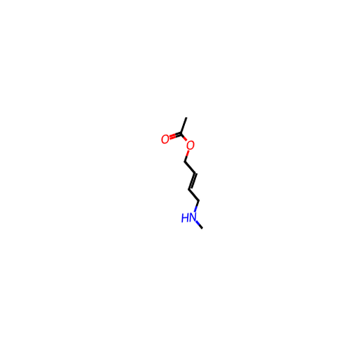 CNCC=CCOC(C)=O